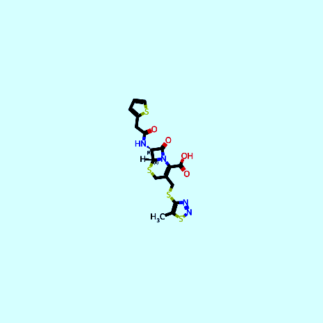 Cc1snnc1SCC1=C(C(=O)O)N2C(=O)[C@@H](NC(=O)Cc3cccs3)[C@H]2SC1